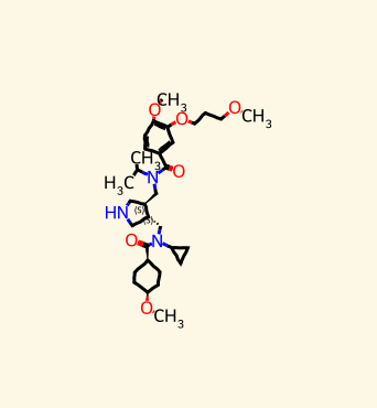 COCCCOc1cc(C(=O)N(C[C@@H]2CNC[C@H]2CN(C(=O)[C@H]2CC[C@@H](OC)CC2)C2CC2)C(C)C)ccc1OC